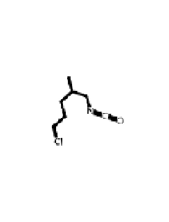 CC(CCCCl)CN=C=O